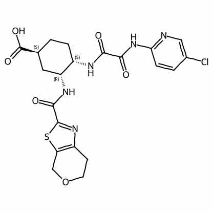 O=C(Nc1ccc(Cl)cn1)C(=O)N[C@H]1CC[C@H](C(=O)O)C[C@H]1NC(=O)c1nc2c(s1)COCC2